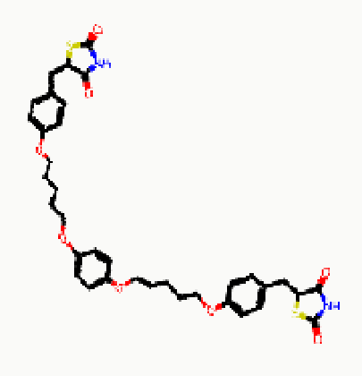 O=C1NC(=O)C(Cc2ccc(OCCCCCOc3ccc(OCCCCCOc4ccc(CC5SC(=O)NC5=O)cc4)cc3)cc2)S1